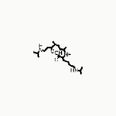 CC(C)NCCCCC(NC(C)CCC(C)C(=O)CCNC(C)C)C(=O)O